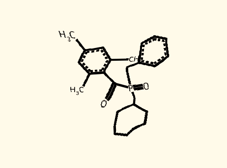 Cc1cc(C)c(C(=O)P(=O)(Cc2ccccc2)C2CCCCC2)c(C)c1